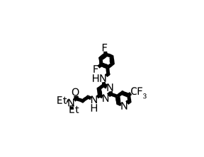 CCN(CC)C(=O)CCNc1cc(NCc2ccc(F)cc2F)nc(-c2cncc(C(F)(F)F)c2)n1